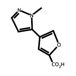 Cn1nccc1-c1coc(C(=O)O)c1